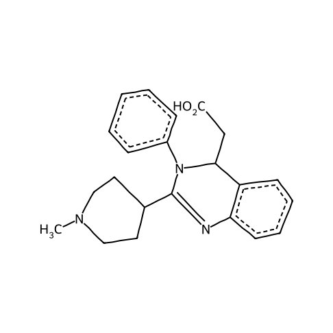 CN1CCC(C2=Nc3ccccc3C(CC(=O)O)N2c2ccccc2)CC1